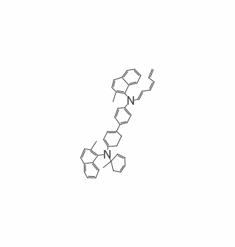 C=C/C=C\C=C\N(c1ccc(C2=CC=C(N(c3c(C)ccc4ccccc34)C3(C)C=CC=CC3)CC2)cc1)c1c(C)ccc2ccccc12